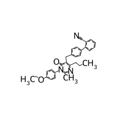 CCCc1nc(C)n(-c2ccc(OCC)cc2)c(=O)c1Cc1ccc(-c2ccccc2C#N)cc1